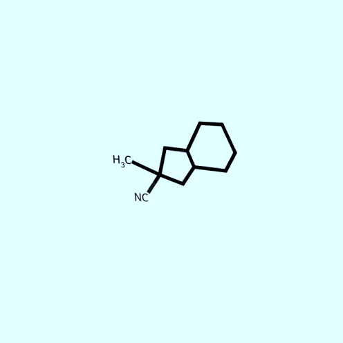 CC1(C#N)CC2CCCCC2C1